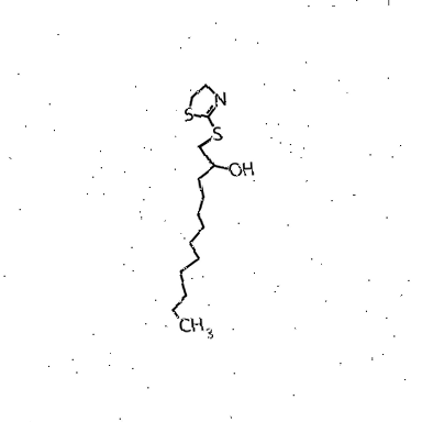 CCCCCCCCCCC(O)CSC1=NCCS1